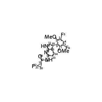 COc1c(F)cc(F)c(OC)c1-c1c[nH]c2nc(NC(=O)[C@@H]3C[C@@H]3F)ccc12